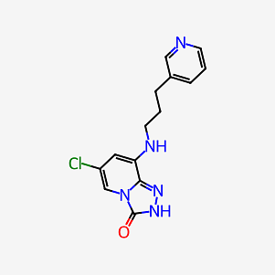 O=c1[nH]nc2c(NCCCc3cccnc3)cc(Cl)cn12